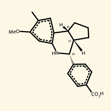 COc1cc2c(cc1C)[C@@H]1CCC[C@@H]1[C@H](c1ccc(C(=O)O)cc1)N2